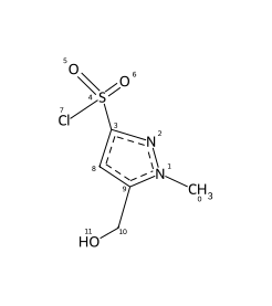 Cn1nc(S(=O)(=O)Cl)cc1CO